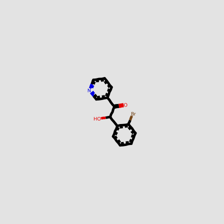 O=C(c1cccnc1)C(O)c1ccccc1Br